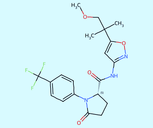 COCC(C)(C)c1cc(NC(=O)[C@@H]2CCC(=O)N2c2ccc(C(F)(F)F)cc2)no1